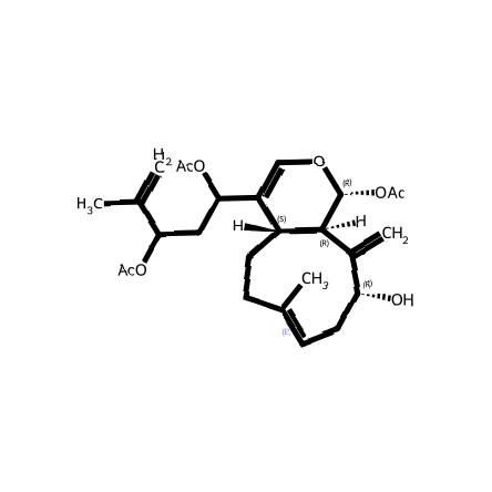 C=C(C)C(CC(OC(C)=O)C1=CO[C@H](OC(C)=O)[C@H]2C(=C)[C@H](O)C/C=C(\C)CC[C@H]12)OC(C)=O